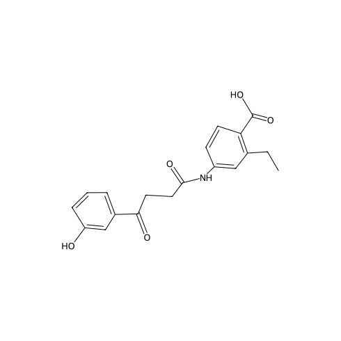 CCc1cc(NC(=O)CCC(=O)c2cccc(O)c2)ccc1C(=O)O